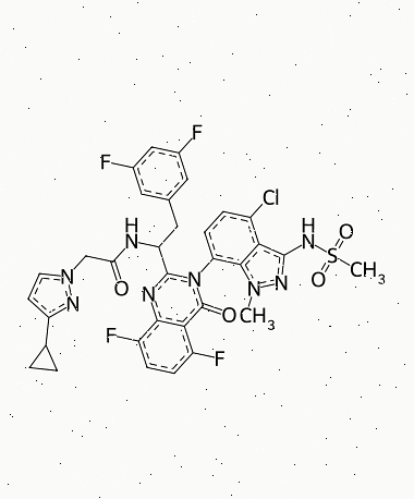 Cn1nc(NS(C)(=O)=O)c2c(Cl)ccc(-n3c(C(Cc4cc(F)cc(F)c4)NC(=O)Cn4ccc(C5CC5)n4)nc4c(F)ccc(F)c4c3=O)c21